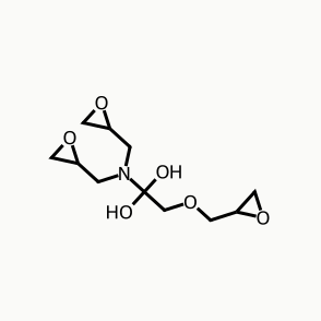 OC(O)(COCC1CO1)N(CC1CO1)CC1CO1